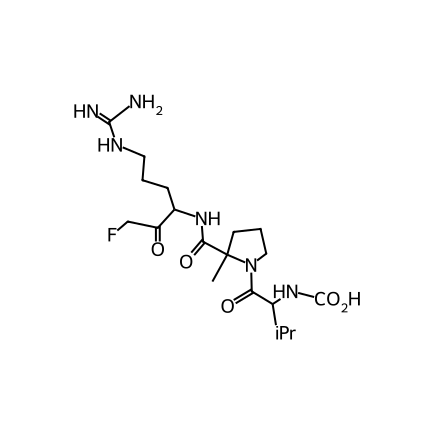 CC(C)C(NC(=O)O)C(=O)N1CCCC1(C)C(=O)NC(CCCNC(=N)N)C(=O)CF